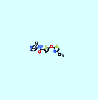 Cc1csc(Oc2ccc(C(=O)N[C@H]3CN4CCC3CC4)s2)n1